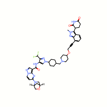 Cn1nc2c(C#CCOC3CCN(CC4CCC(n5cc(NC(=O)c6cnn7ccc(N8C[C@H]9C[C@@H]8CO9)nc67)c(C(F)F)n5)CC4)CC3)cccc2c1C1CCC(=O)NC1=O